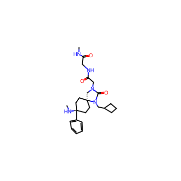 CNC(=O)CNC(=O)CN1C[C@]2(CC[C@@](NC)(c3ccccc3)CC2)N(CC2CCC2)C1=O